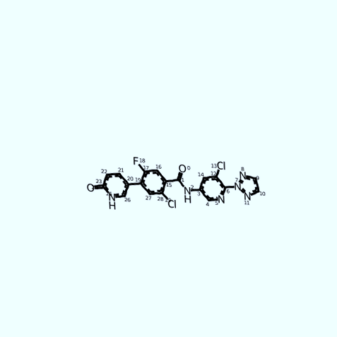 O=C(Nc1cnc(-n2nccn2)c(Cl)c1)c1cc(F)c(-c2ccc(=O)[nH]c2)cc1Cl